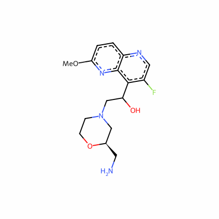 COc1ccc2ncc(F)c(C(O)CN3CCO[C@H](CN)C3)c2n1